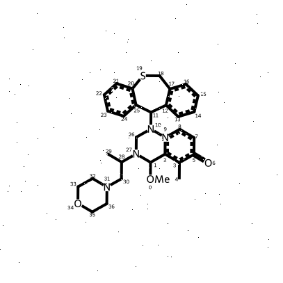 COC1c2c(C)c(=O)ccn2N(C2c3ccccc3CSc3ccccc32)CN1C(C)CN1CCOCC1